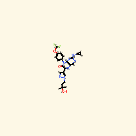 CC(C)(O)CCn1cc(-c2nc3cnc(NC4CC4)nc3n(-c3ccc(OC(F)F)cc3)c2=O)cn1